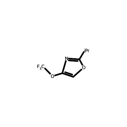 CC(C)c1nc(OC(F)(F)F)co1